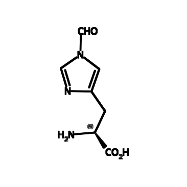 N[C@@H](Cc1cn(C=O)cn1)C(=O)O